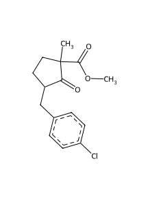 COC(=O)C1(C)CCC(Cc2ccc(Cl)cc2)C1=O